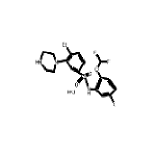 CCc1ccc(S(=O)(=O)Nc2cc(Cl)ccc2OC(F)F)cc1N1CCNCC1.Cl